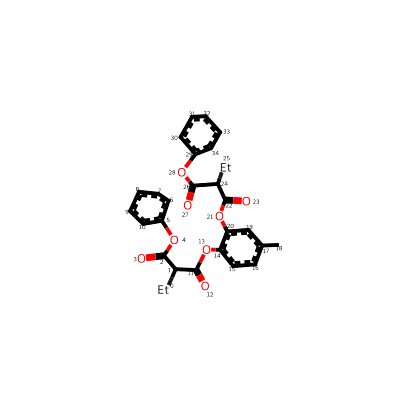 CCC(C(=O)Oc1ccccc1)C(=O)Oc1ccc(C)cc1OC(=O)C(CC)C(=O)Oc1ccccc1